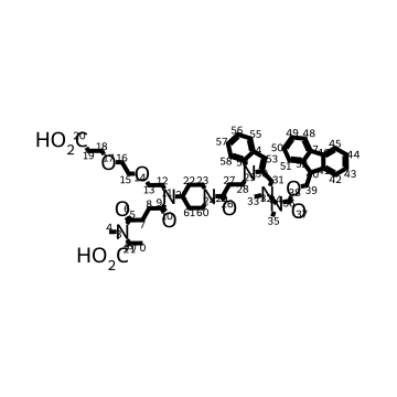 C[C@@H](C(=O)O)N(C)C(=O)CCC(=O)N(CCOCCOCCC(=O)O)C1CCN(C(=O)CCn2c(CN(C)N(C)C(=O)OCC3c4ccccc4-c4ccccc43)cc3ccccc32)CC1